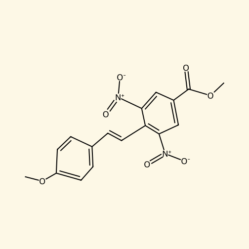 COC(=O)c1cc([N+](=O)[O-])c(/C=C/c2ccc(OC)cc2)c([N+](=O)[O-])c1